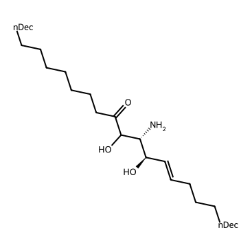 CCCCCCCCCCCCC/C=C/[C@@H](O)[C@@H](N)C(O)C(=O)CCCCCCCCCCCCCCCCC